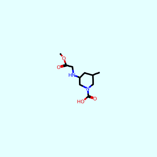 COC(=O)CNC1CC(C)CN(C(=O)O)C1